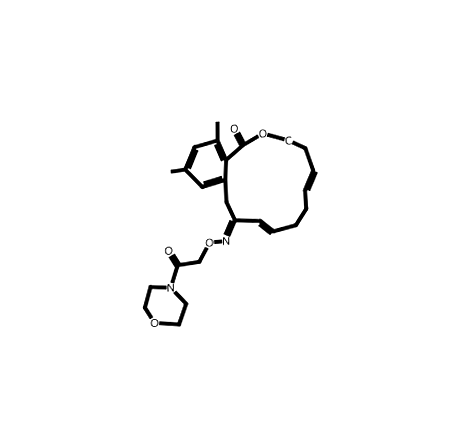 Cc1cc(C)c2c(c1)CC(=N\OCC(=O)N1CCOCC1)/C=C/CC/C=C/CCOC2=O